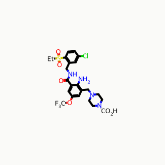 CCS(=O)(=O)c1ccc(Cl)cc1CNC(=O)c1cc(OC(F)(F)F)cc(CN2CCN(C(=O)O)CC2)c1N